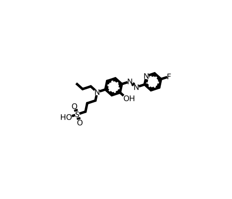 CCCN(CCCS(=O)(=O)O)c1ccc(N=Nc2ccc(F)cn2)c(O)c1